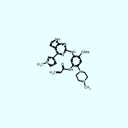 C=CC(=O)Nc1cc(Nc2nc(-c3ccn(C)c3)c3cc[nH]c3n2)c(OC)cc1N1CCN(C)CC1